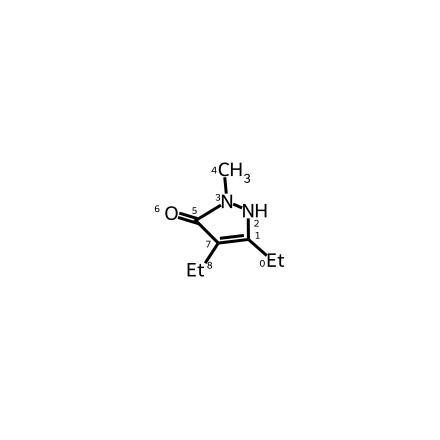 CCc1[nH]n(C)c(=O)c1CC